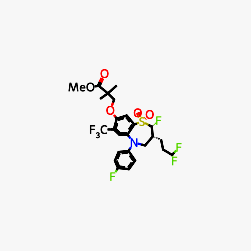 COC(=O)C(C)(C)COc1cc2c(cc1C(F)(F)F)N(c1ccc(F)cc1)C[C@@H](CCC(F)F)[C@@H](F)S2(=O)=O